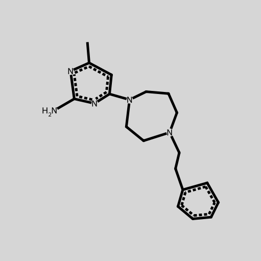 Cc1cc(N2CCCN(CCc3ccccc3)CC2)nc(N)n1